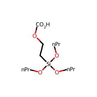 CCCO[Si](CCOC(=O)O)(OCCC)OCCC